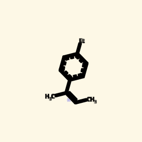 C/C=C(/C)c1ccc(CC)cc1